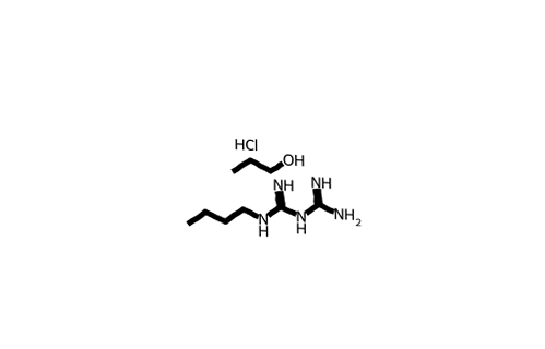 CCCCNC(=N)NC(=N)N.CCCO.Cl